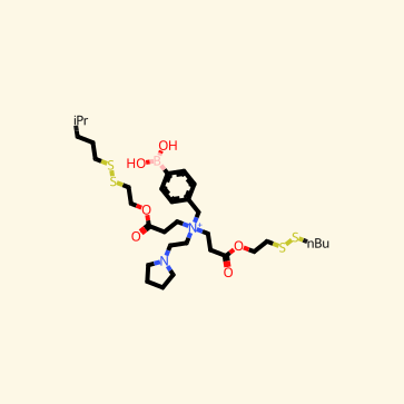 CCCCSSCCOC(=O)CC[N+](CCC(=O)OCCSSCCCC(C)C)(CCN1CCCC1)Cc1ccc(B(O)O)cc1